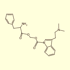 CN(C)CCc1cn(C(=O)OCOC(=O)C(N)Cc2ccccc2)c2ccccc12